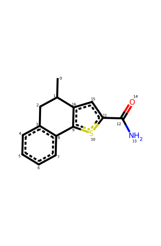 CC1Cc2ccccc2-c2sc(C(N)=O)cc21